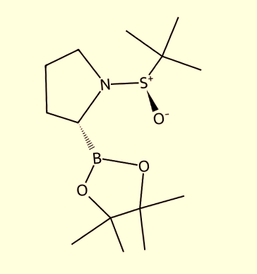 CC(C)(C)[S@@+]([O-])N1CCC[C@H]1B1OC(C)(C)C(C)(C)O1